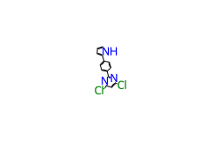 Clc1cc(Cl)nc(-c2ccc(-c3ccc[nH]3)cc2)n1